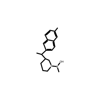 CB(O)N1CCCC(C(C)c2ccc3cc(C)ccc3c2)C1